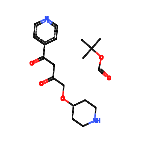 CC(C)(C)OC=O.O=C(COC1CCNCC1)CC(=O)c1ccncc1